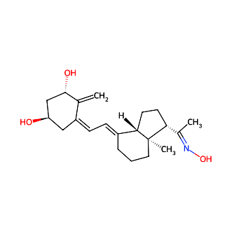 C=C1C(=CC=C2CCC[C@]3(C)[C@@H](C(C)=NO)CC[C@@H]23)C[C@@H](O)C[C@@H]1O